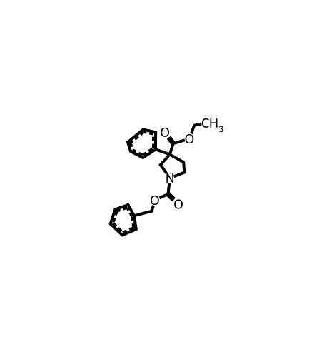 CCOC(=O)C1(c2ccccc2)CCN(C(=O)OCc2ccccc2)C1